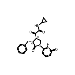 O=C(NC1CC1)C(=O)[C@H]1CN(c2cccc(=O)[nH]2)C(=O)[C@@H]1Cc1ccccc1